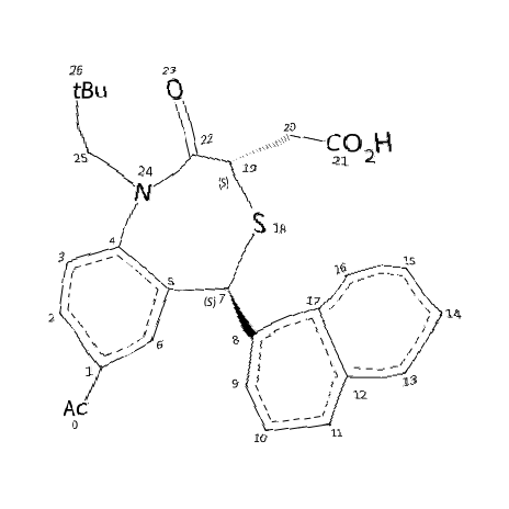 CC(=O)c1ccc2c(c1)[C@H](c1cccc3ccccc13)S[C@@H](CC(=O)O)C(=O)N2CC(C)(C)C